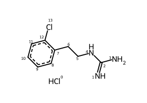 Cl.N=C(N)NCCc1ccccc1Cl